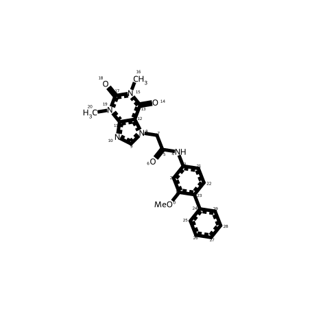 COc1cc(NC(=O)Cn2cnc3c2c(=O)n(C)c(=O)n3C)ccc1-c1ccccc1